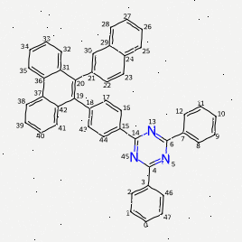 c1ccc(-c2nc(-c3ccccc3)nc(-c3ccc(-c4c(-c5ccc6ccccc6c5)c5ccccc5c5ccccc45)cc3)n2)cc1